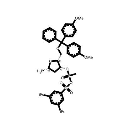 B[C@H]1C[C@@H](OP(C)(=O)OS(=O)(=O)c2cc(C(C)C)cc(C(C)C)c2)[C@@H](COC(c2ccccc2)(c2ccc(OC)cc2)c2ccc(OC)cc2)O1